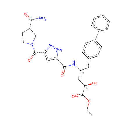 CCOC(=O)[C@H](O)C[C@@H](Cc1ccc(-c2ccccc2)cc1)NC(=O)c1cc(C(=O)N2CCC(C(N)=O)C2)n[nH]1